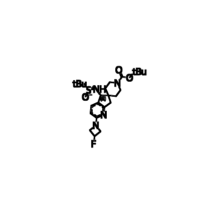 CC(C)(C)OC(=O)N1CCC2(CC1)Cc1nc(N3CC(F)C3)ccc1[C@H]2N[S+]([O-])C(C)(C)C